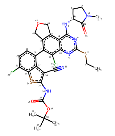 CCSc1nc(N[C@@H]2CCN(C)C2=O)c2c3c(c(-c4ccc(F)c5sc(NC(=O)OC(C)(C)C)c(C#N)c45)c(Cl)c2n1)COC3